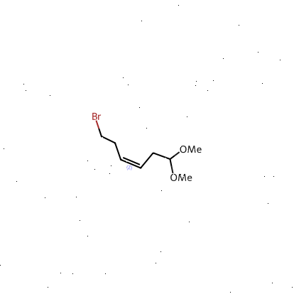 COC(C/C=C\CCBr)OC